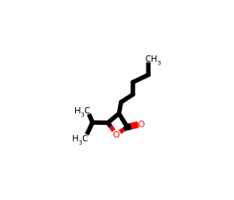 CCCCCC1C(=O)OC1C(C)C